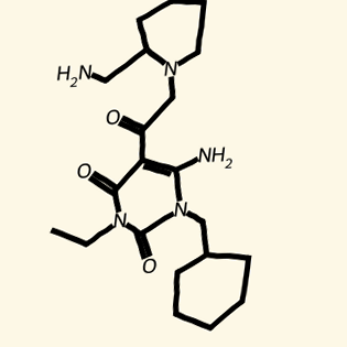 CCn1c(=O)c(C(=O)CN2CCCCC2CN)c(N)n(CC2CCCCC2)c1=O